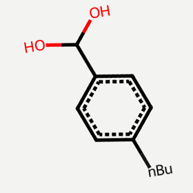 CCCCc1ccc(C(O)O)cc1